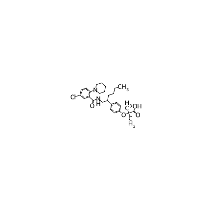 CCCCC(CNC(=O)c1cc(Cl)ccc1N1CCCCC1)c1ccc(OC(C)(C)C(=O)O)cc1